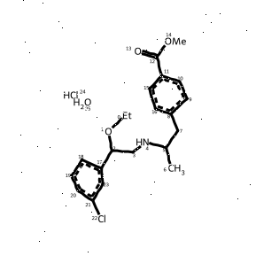 CCOC(CNC(C)Cc1ccc(C(=O)OC)cc1)c1cccc(Cl)c1.Cl.O